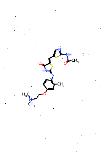 CC(=O)Nc1ncc(C=C2SC(=Nc3ccc(OCCN(C)C)cc3C)NC2=O)s1